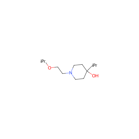 CC(C)OCCN1CCC(O)(C(C)C)CC1